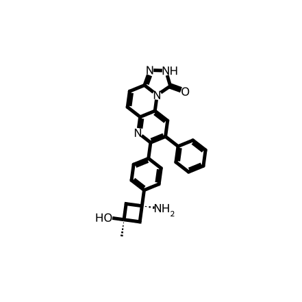 C[C@]1(O)C[C@@](N)(c2ccc(-c3nc4ccc5n[nH]c(=O)n5c4cc3-c3ccccc3)cc2)C1